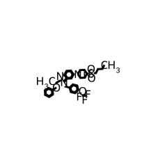 CCCCS(=O)(=O)N1CCN(c2ccc3nc(C(C)Oc4ccccc4)n(Cc4ccc(OC(F)(F)F)cc4)c3c2)CC1